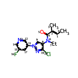 CC=C(C)C(=O)N(CC)c1cn(-c2cncc(F)c2)nc1Cl